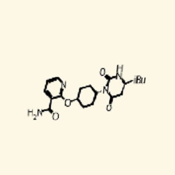 CC[C@H](C)[C@H]1CC(=O)N([C@H]2CC[C@H](Oc3ncccc3C(N)=O)CC2)C(=O)N1